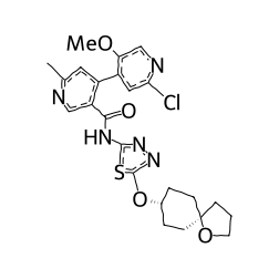 COc1cnc(Cl)cc1-c1cc(C)ncc1C(=O)Nc1nnc(O[C@H]2CC[C@@]3(CCCO3)CC2)s1